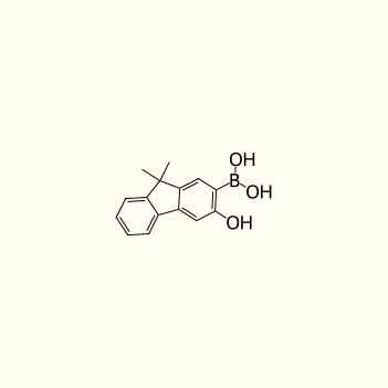 CC1(C)c2ccccc2-c2cc(O)c(B(O)O)cc21